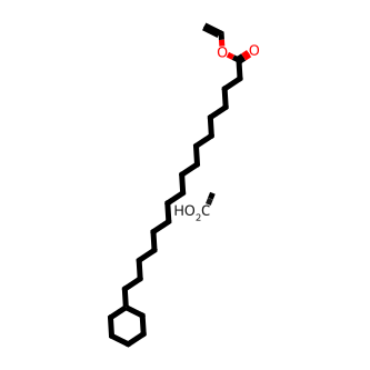 C=COC(=O)CCCCCCCCCCCCCCCCC1CCCCC1.CC(=O)O